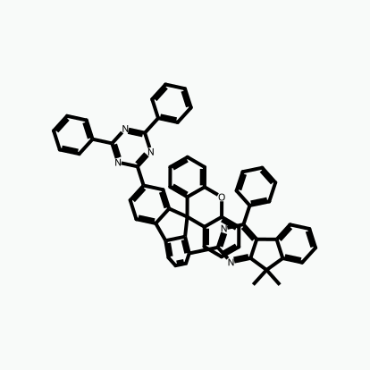 CC1(C)c2ccccc2-c2c(-c3ccccc3)nc(-c3cccc4c3C3(c5ccccc5Oc5ccccc53)c3cc(-c5nc(-c6ccccc6)nc(-c6ccccc6)n5)ccc3-4)nc21